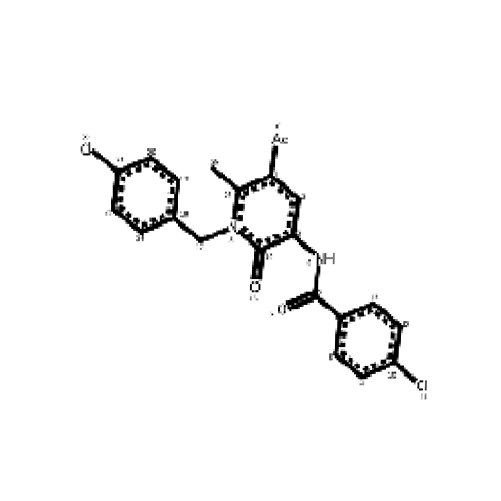 CC(=O)c1cc(NC(=O)c2ccc(Cl)cc2)c(=O)n(Cc2ccc(Cl)cc2)c1C